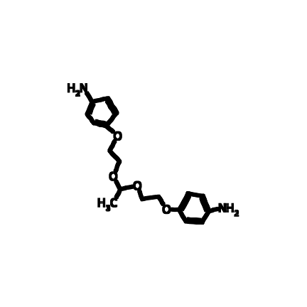 CC(OCCOc1ccc(N)cc1)OCCOc1ccc(N)cc1